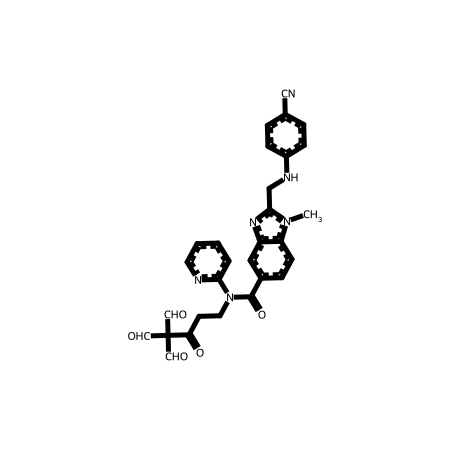 Cn1c(CNc2ccc(C#N)cc2)nc2cc(C(=O)N(CCC(=O)C(C=O)(C=O)C=O)c3ccccn3)ccc21